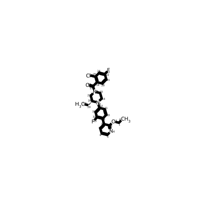 CCOc1ncccc1-c1ccc(N2CCN(C(=O)c3ccc(F)cc3Cl)C[C@H]2CC)[c]c1F